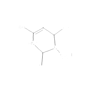 CCCCC1=CC(Cl)N(C(=O)O)C(C)N1